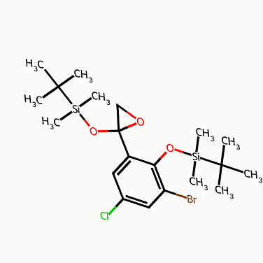 CC(C)(C)[Si](C)(C)Oc1c(Br)cc(Cl)cc1C1(O[Si](C)(C)C(C)(C)C)CO1